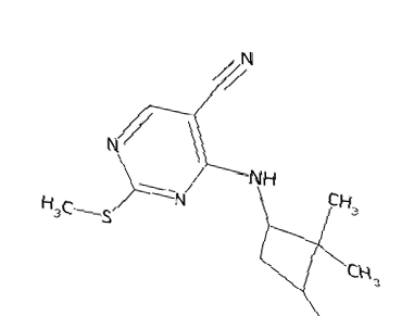 CSc1ncc(C#N)c(NC2CC(O)C2(C)C)n1